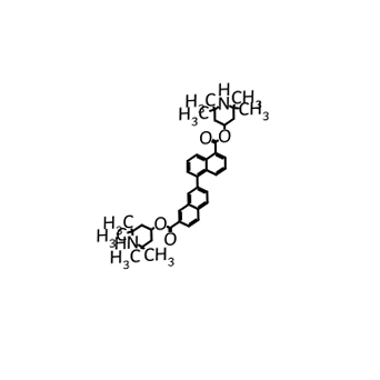 CC1(C)CC(OC(=O)c2ccc3ccc(-c4cccc5c(C(=O)OC6CC(C)(C)NC(C)(C)C6)cccc45)cc3c2)CC(C)(C)N1